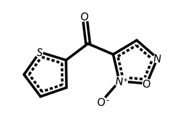 O=C(c1cccs1)c1cno[n+]1[O-]